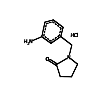 Cl.Nc1cccc(CN2CCCC2=O)c1